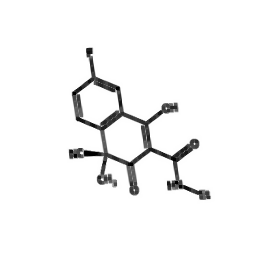 CCNC(=O)C1=C(O)c2cc(F)ccc2[C@](C)(C#N)C1=O